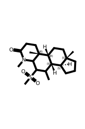 CC1C(S(C)(=O)=O)C2N(C)C(=O)CC[C@]2(C)[C@@H]2CC[C@]3(C)CCC[C@H]3[C@H]12